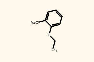 COc1cc[c]cc1OCC(F)(F)F